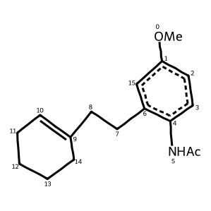 COc1ccc(NC(C)=O)c(CCC2=CCCCC2)c1